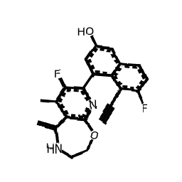 C#Cc1c(F)ccc2cc(O)cc(-c3nc4c(c(C)c3F)C(=C)NCCO4)c12